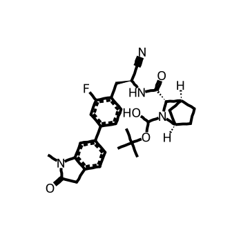 CN1C(=O)Cc2ccc(-c3ccc(C[C@@H](C#N)NC(=O)[C@@H]4[C@H]5CC[C@H](C5)N4C(O)OC(C)(C)C)c(F)c3)cc21